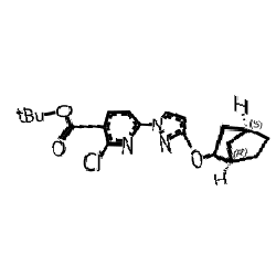 CC(C)(C)OC(=O)c1ccc(-n2ccc(OC3C[C@H]4CC[C@@H]3C4)n2)nc1Cl